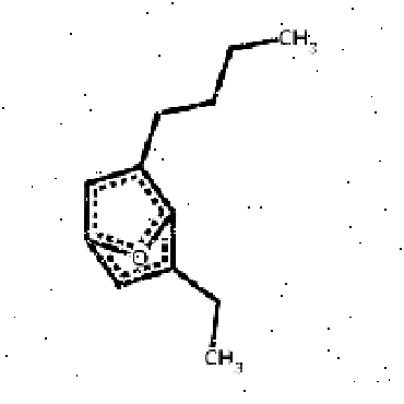 CCCCc1cc2cc(CC)c1o2